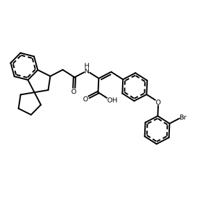 O=C(CC1CC2(CCCC2)c2ccccc21)NC(=Cc1ccc(Oc2ccccc2Br)cc1)C(=O)O